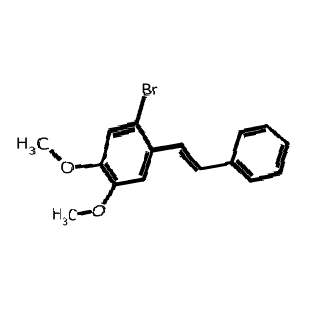 COc1cc(Br)c(/C=C/c2ccccc2)cc1OC